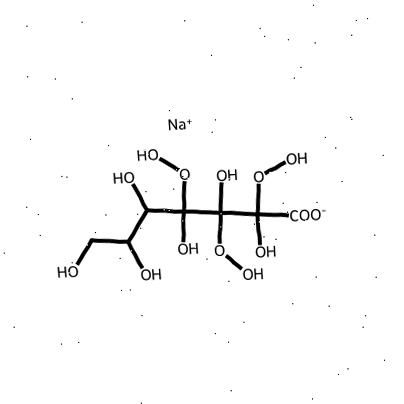 O=C([O-])C(O)(OO)C(O)(OO)C(O)(OO)C(O)C(O)CO.[Na+]